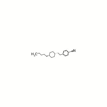 CCCCC[C@H]1CC[C@H](CCc2ccc(C#N)cc2)CC1